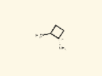 CC1CC[C@@H]1C